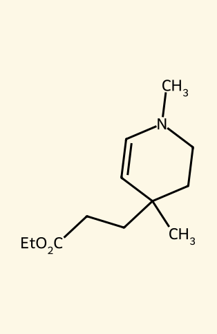 CCOC(=O)CCC1(C)C=CN(C)CC1